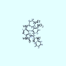 CCN1CCC(Nc2ccc3c(c2)/C(=C(\c2ccc([N+](=O)[O-])cc2)c2nc4ccccc4[nH]2)C(=O)N3)CC1